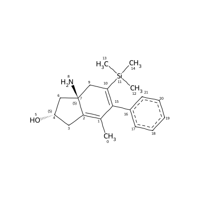 CC1=C2C[C@H](O)C[C@]2(N)CC([Si](C)(C)C)=C1c1ccccc1